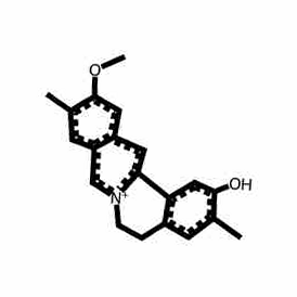 COc1cc2cc3[n+](cc2cc1C)CCc1cc(C)c(O)cc1-3